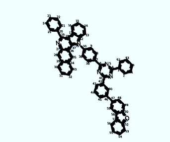 c1ccc(-c2nc(-c3ccc(-n4c5ccccc5c5c(-c6ccccc6)nc6cc7ccccc7cc6c54)cc3)nc(-c3cccc(-c4ccc5oc6ccccc6c5c4)c3)n2)cc1